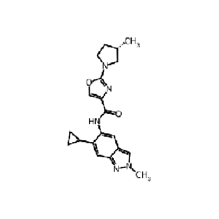 C[C@H]1CCN(c2nc(C(=O)Nc3cc4cn(C)nc4cc3C3CC3)co2)C1